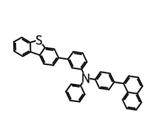 c1ccc(N(c2ccc(-c3cccc4ccccc34)cc2)c2cccc(-c3ccc4c(c3)sc3ccccc34)c2)cc1